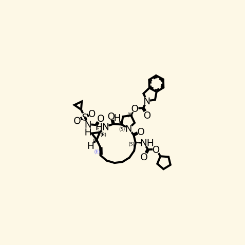 O=C(N[C@H]1CCCCC/C=C/[C@@H]2C[C@@]2(C(=O)NS(=O)(=O)C2CC2)NC(=O)[C@@H]2C[C@@H](OC(=O)N3Cc4ccccc4C3)CN2C1=O)OC1CCCC1